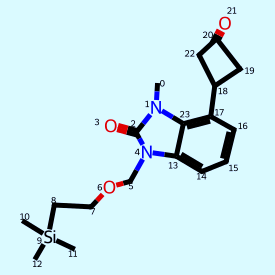 Cn1c(=O)n(COCC[Si](C)(C)C)c2cccc(C3CC(=O)C3)c21